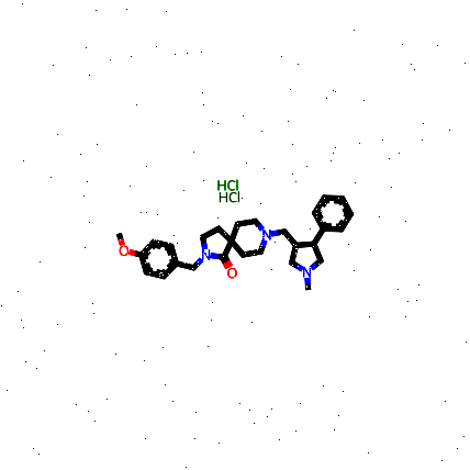 COc1ccc(CN2CCC3(CCN(CC4CN(C)CC4c4ccccc4)CC3)C2=O)cc1.Cl.Cl